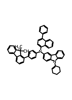 CC1(C)c2ccccc2-c2cccc(-c3ccc(N(c4ccc5c(c4)c4ccccc4n5C4=CCCCC4)c4ccc(-c5ccccc5)c5ccccc45)cc3)c21